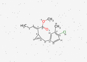 CC/C=C(/C(=O)OC)C1C=C1Cc1ccc(Cl)c(C)c1